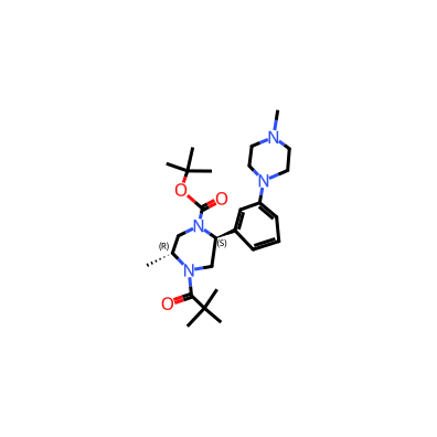 C[C@@H]1CN(C(=O)OC(C)(C)C)[C@@H](c2cccc(N3CCN(C)CC3)c2)CN1C(=O)C(C)(C)C